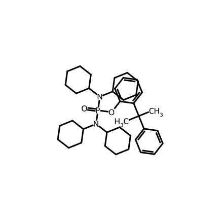 CC(C)(c1ccccc1)c1ccccc1OP(=O)(N(C1CCCCC1)C1CCCCC1)N(C1CCCCC1)C1CCCCC1